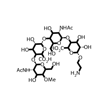 COC1C(CO)O[C@H](OC2C(C(=O)O)O[C@@H](OC3C(CO)O[C@H](OC4C(C(=O)O)O[C@@H](OCCN)[C@@H](O)C4O)[C@@H](NC(C)=O)C3O)[C@@H](O)C2O)[C@@H](NC(C)=O)C1O